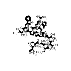 CC(C)C[C@H](NC(=O)[C@@H](N)CC(C)C)C(=O)N[C@@H](C)C(=O)N[C@@H](CC(=O)O)C(=O)N[C@H](C(=O)N[C@H](C(=O)N[C@@H](Cc1c[nH]cn1)C(=O)N[C@@H](Cc1c[nH]cn1)C(=O)N[C@@H](CCCNC(=N)N)C(=O)N1CCC[C@H]1C(=O)N[C@@H](Cc1c[nH]c2ccccc12)C(=O)N[C@H](C(=O)O)[C@@H](C)O)[C@@H](C)O)[C@@H](C)O